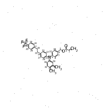 C=CC(=O)OCc1ccc(N(c2ccc(CCc3ccc(C(F)(F)F)cc3)cc2)c2ccc(C)c(C)c2)cc1